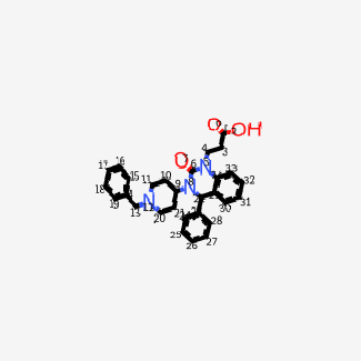 O=C(O)CCN1C(=O)N(C2CCN(Cc3ccccc3)CC2)C(c2ccccc2)c2ccccc21